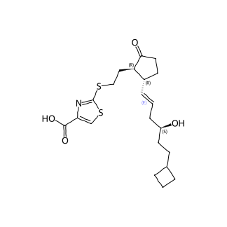 O=C(O)c1csc(SCC[C@H]2C(=O)CC[C@@H]2/C=C/C[C@@H](O)CCC2CCC2)n1